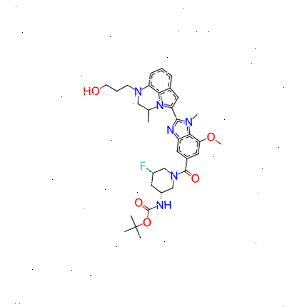 COc1cc(C(=O)N2C[C@H](F)C[C@@H](NC(=O)OC(C)(C)C)C2)cc2nc(-c3cc4cccc5c4n3C(C)CN5CCCO)n(C)c12